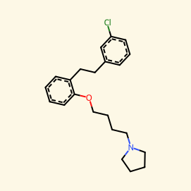 Clc1cccc(CCc2ccccc2OCCCCN2CCCC2)c1